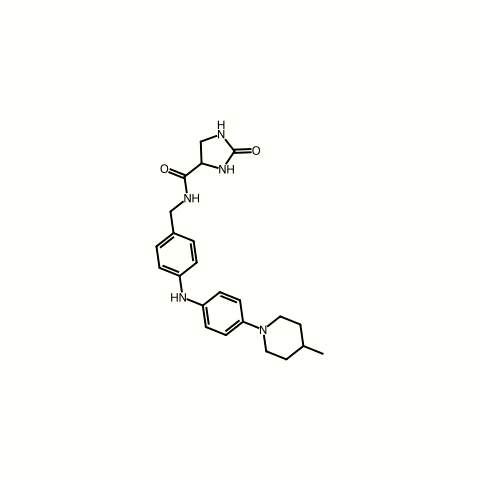 CC1CCN(c2ccc(Nc3ccc(CNC(=O)C4CNC(=O)N4)cc3)cc2)CC1